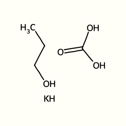 CCCO.O=C(O)O.[KH]